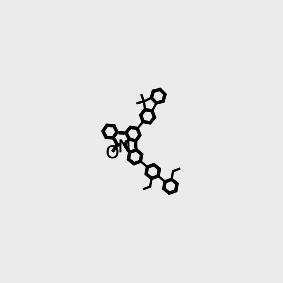 CCc1ccccc1-c1ccc(-c2ccc3c(c2)c2cc(-c4ccc5c(c4)C(C)(C)c4ccccc4-5)cc4c5ccccc5c(=O)n3c42)cc1CC